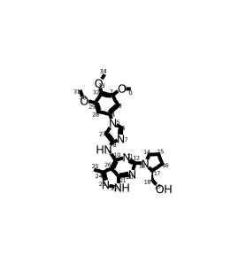 COc1cc(-n2cnc(Nc3nc(N4CCC[C@H]4CO)nc4[nH]nc(C)c34)c2)cc(OC)c1OC